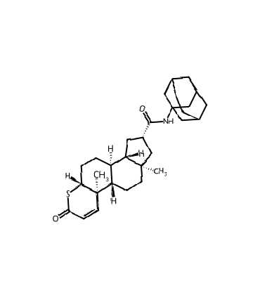 C[C@]12CC[C@H]3[C@@H](CC[C@H]4SC(=O)C=C[C@@]43C)[C@@H]1C[C@H](C(=O)NC13CC4CC(CC(C4)C1)C3)C2